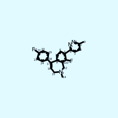 Cc1ccc(-c2ccc3c(c2F)CN(C)CC=C3c2ccc(F)cc2)nn1